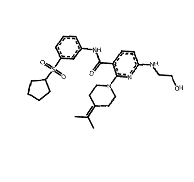 CC(C)=C1CCN(c2nc(NCCO)ccc2C(=O)Nc2cccc(S(=O)(=O)C3CCCC3)c2)CC1